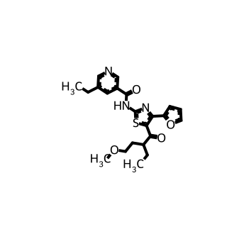 CCc1cncc(C(=O)Nc2nc(-c3ccco3)c(C(=O)C(CC)CCOC)s2)c1